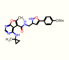 COc1ccc(C2=CC(CNC(=O)c3c(C)oc4ncnc(NC5(C)CC5)c34)NO2)cc1